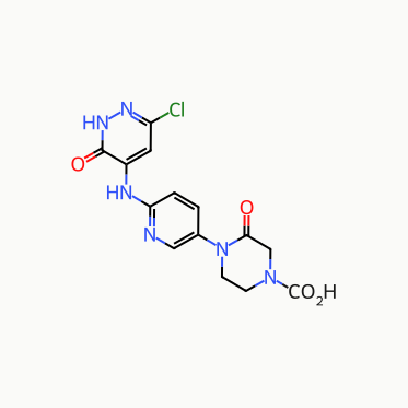 O=C(O)N1CCN(c2ccc(Nc3cc(Cl)n[nH]c3=O)nc2)C(=O)C1